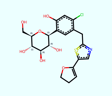 OC[C@H]1O[C@@H](c2cc(Cc3ncc(C4=CCCO4)s3)c(Cl)cc2O)[C@H](O)[C@@H](O)[C@@H]1O